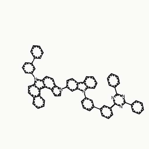 c1ccc(-c2cccc(-n3c4ccc5ccccc5c4c4c5ccn(-c6ccc7c8ccccc8n(-c8cccc(-c9cccc(-c%10nc(-c%11ccccc%11)nc(-c%11ccccc%11)n%10)c9)c8)c7c6)c5ccc43)c2)cc1